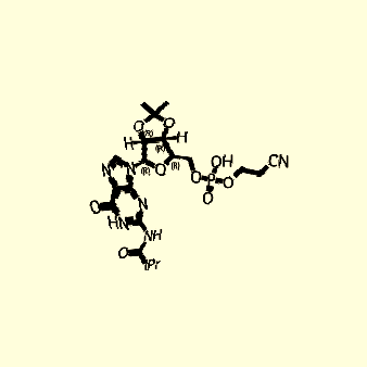 CC(C)C(=O)Nc1nc2c(ncn2[C@@H]2O[C@H](COP(=O)(O)OCCC#N)[C@H]3OC(C)(C)O[C@H]32)c(=O)[nH]1